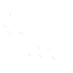 CC1=C(C(=O)Nc2nnc(C(F)(F)F)s2)C(c2ccccc2Cl)N=C(Nc2nc3ccccc3o2)N1